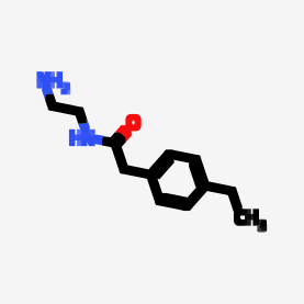 CCc1ccc(CC(=O)NCCN)cc1